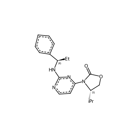 CC[C@@H](Nc1nccc(N2C(=O)OC[C@@H]2C(C)C)n1)c1ccccc1